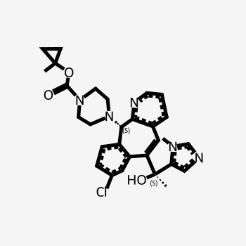 Cn1cncc1[C@@](C)(O)C1=Cc2cccnc2[C@@H](N2CCN(C(=O)OC3(C)CC3)CC2)c2ccc(Cl)cc21